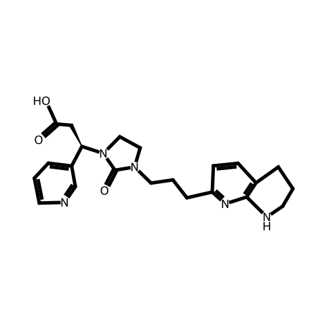 O=C(O)C[C@H](c1cccnc1)N1CCN(CCCc2ccc3c(n2)NCCC3)C1=O